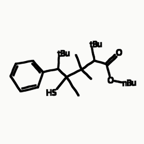 CCCCOC(=O)C(C(C)(C)C)C(C)(C)C(C)(S)C(c1ccccc1)C(C)(C)C